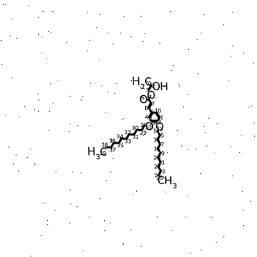 [CH2]C(O)COC(=O)C=Cc1ccc(OCCCCCCCCCCCC)c(OCCCCCCCCCCCC)c1